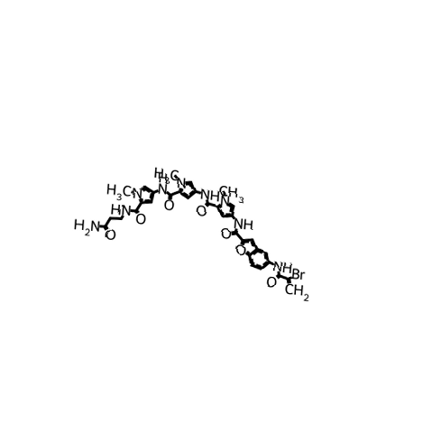 C=C(Br)C(=O)Nc1ccc2oc(C(=O)Nc3cc(C(=O)Nc4cc(C(=O)Nc5cc(C(=O)NCCC(N)=O)n(C)c5)n(C)c4)n(C)c3)cc2c1